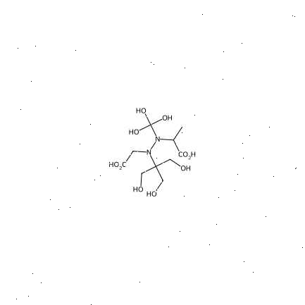 CC(C(=O)O)N(N(CC(=O)O)C(CO)(CO)CO)C(O)(O)O